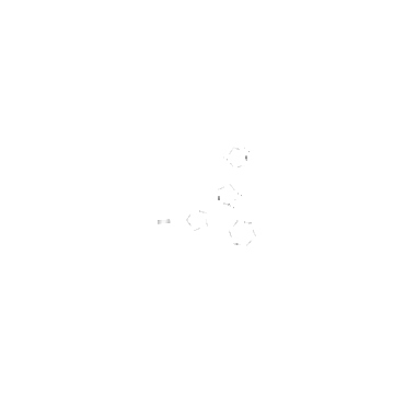 CCCC#Cc1ccc(-c2c(C)c(-c3nc(C(C)(C)C)no3)nn2-c2ccc(Cl)cc2Cl)s1